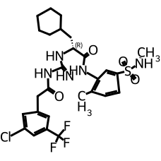 CNS(=O)(=O)c1ccc(C)c(NC(=O)[C@@H](CC2CCCCC2)NC(=N)NC(=O)Cc2cc(Cl)cc(C(F)(F)F)c2)c1